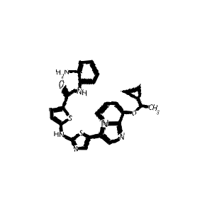 CC(Oc1cccn2c(-c3cnc(Nc4ccc(C(=O)Nc5ccccc5N)s4)s3)cnc12)C1CC1